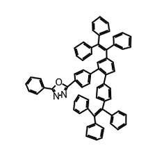 c1ccc(C(=C(c2ccccc2)c2ccc(-c3ccc(C(=C(c4ccccc4)c4ccccc4)c4ccccc4)cc3-c3ccc(-c4nnc(-c5ccccc5)o4)cc3)cc2)c2ccccc2)cc1